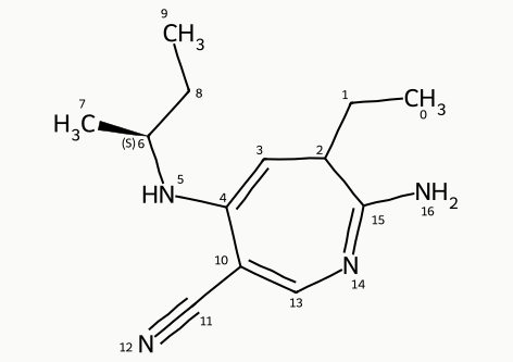 CCC1C=C(N[C@@H](C)CC)C(C#N)=CN=C1N